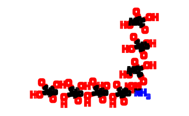 N.O.[O]=[Mo](=[O])([OH])[OH].[O]=[Mo](=[O])([OH])[OH].[O]=[Mo](=[O])([OH])[OH].[O]=[Mo](=[O])([OH])[OH].[O]=[Mo](=[O])([OH])[OH].[O]=[Mo](=[O])([OH])[OH].[O]=[Mo](=[O])([OH])[OH]